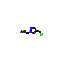 CC(=O)OCn1cc(CCl)cn1